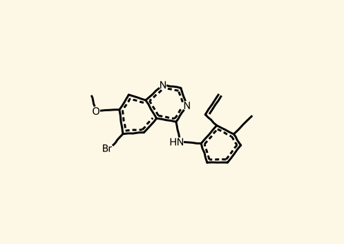 C=Cc1c(C)cccc1Nc1ncnc2cc(OC)c(Br)cc12